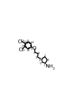 N[C@H]1CCN(CCCOc2ccc(Cl)c(Cl)c2)C1